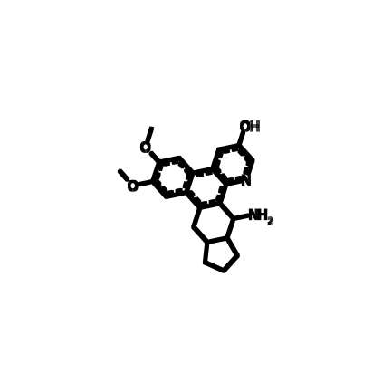 COc1cc2c3c(c4ncc(O)cc4c2cc1OC)C(N)C1CCCC1C3